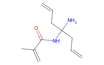 C=CCC(N)(CC=C)NC(=O)C(=C)C